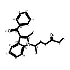 CCC(=O)CCC(C)n1c(C)c(C(=O)c2ccccc2)c2ccccc21